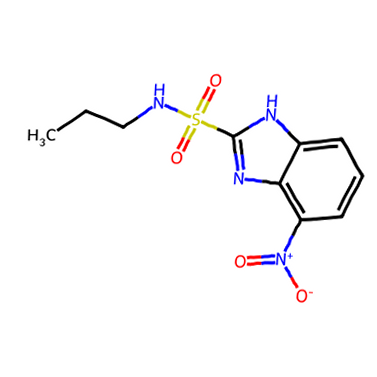 CCCNS(=O)(=O)c1nc2c([N+](=O)[O-])cccc2[nH]1